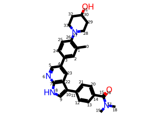 Cc1cc(-c2cnc3[nH]cc(-c4ccc(C(=O)N(C)C)cc4)c3c2)ccc1N1CCC(O)CC1